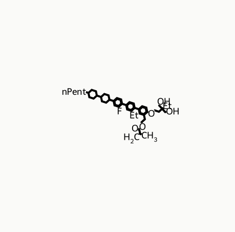 C=C(C)C(=O)OCCc1cc(-c2ccc(-c3ccc(C4CCC(C5CCC(CCCCC)CC5)CC4)cc3F)cc2CC)ccc1OCCC(CC)(CO)CO